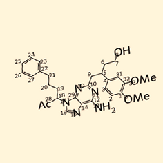 COc1ccc(C(CCO)Cc2nc(N)c3ncn(C(CCCc4ccccc4)C(C)=O)c3n2)cc1OC